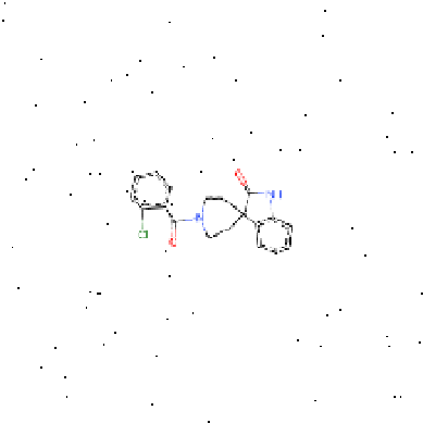 O=C(c1ccccc1Cl)N1CCC2(CC1)C(=O)Nc1ccccc12